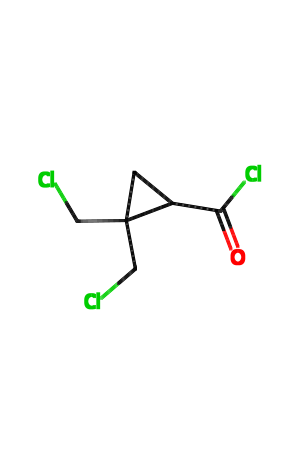 O=C(Cl)C1CC1(CCl)CCl